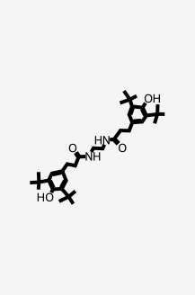 CC(C)(C)c1cc(CCC(=O)NCCNC(=O)CCc2cc(C(C)(C)C)c(O)c(C(C)(C)C)c2)cc(C(C)(C)C)c1O